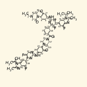 CCN1CC(=O)N2c3ccc(Nc4nc(-c5cccc(C(=O)N6CCN7c8ccc(Nc9ncc(F)c(-c%10cc(F)c%11nc(C)n(C(C)C)c%11c%10)n9)cc8OCC7C6)c5)c(F)c(-c5cc(F)c6nc(C)n(C(C)C)c6c5)n4)cc3OCC2C1